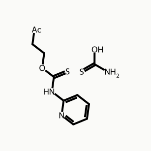 CC(=O)CCOC(=S)Nc1ccccn1.NC(O)=S